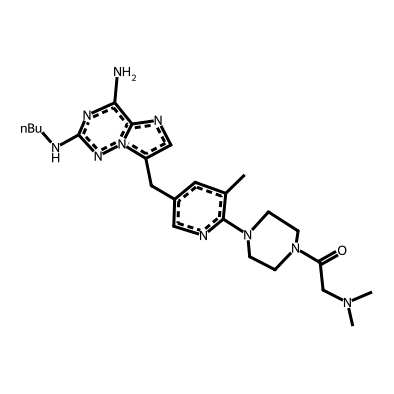 CCCCNc1nc(N)c2ncc(Cc3cnc(N4CCN(C(=O)CN(C)C)CC4)c(C)c3)n2n1